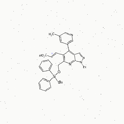 CCn1ncc2c(-c3cncc(C)c3)c(/C=C/C(=O)O)c(CO[Si](c3ccccc3)(c3ccccc3)C(C)(C)C)nc21